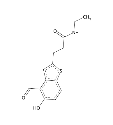 CCNC(=O)CCc1cc2c(C=O)c(O)ccc2s1